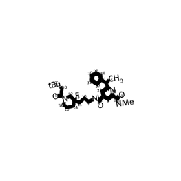 CNC(=O)c1cc(C(=O)NCCC[C@]2(F)CCCN(C(=O)CC(C)(C)C)C2)cc(C(C)c2ccccc2)n1